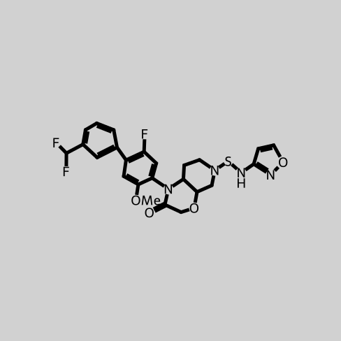 COc1cc(-c2cccc(C(F)F)c2)c(F)cc1N1C(=O)COC2CN(SNc3ccon3)CCC21